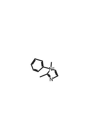 CC1=NC=C[N+]1(C)c1ccccc1